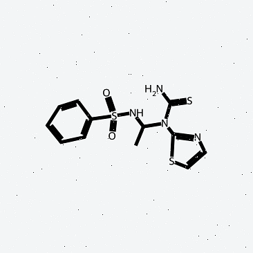 CC(NS(=O)(=O)c1ccccc1)N(C(N)=S)c1nccs1